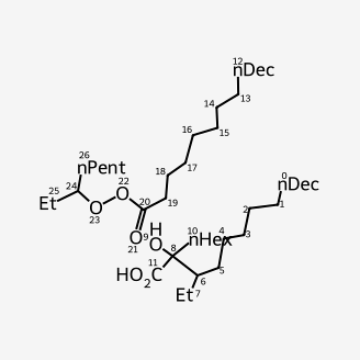 CCCCCCCCCCCCCCCC(CC)C(O)(CCCCCC)C(=O)O.CCCCCCCCCCCCCCCCCC(=O)OOC(CC)CCCCC